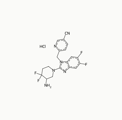 Cl.N#Cc1ccc(Cn2c(N3CCC(F)(F)C(N)C3)nc3cc(F)c(F)cc32)nc1